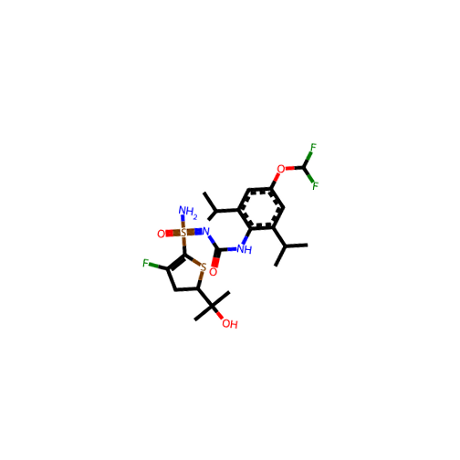 CC(C)c1cc(OC(F)F)cc(C(C)C)c1NC(=O)N=S(N)(=O)C1=C(F)CC(C(C)(C)O)S1